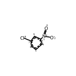 O=[N+]([O-])c1cc[c]c(Cl)c1